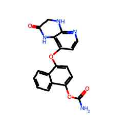 NC(=O)Oc1ccc(Oc2ccnc3c2NC(=O)CN3)c2ccccc12